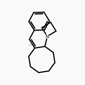 C(=C1\CCCCCCC1N1CCC1)/c1ccccc1